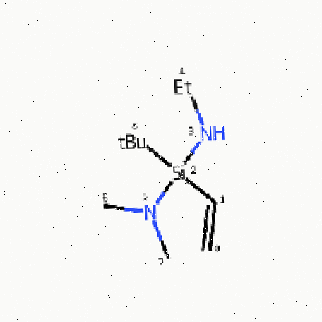 C=C[Si](NCC)(N(C)C)C(C)(C)C